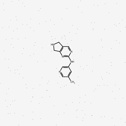 Cc1cncc(Nc2ncc3c(n2)CNC3)c1